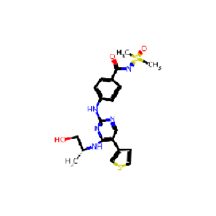 C[C@H](CO)Nc1nc(Nc2ccc(C(=O)N=S(C)(C)=O)cc2)ncc1-c1ccsc1